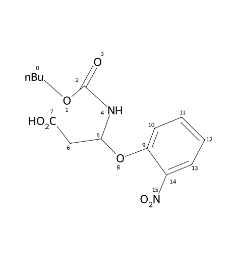 CCCCOC(=O)NC(CC(=O)O)Oc1ccccc1[N+](=O)[O-]